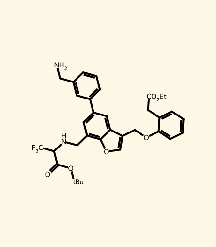 CCOC(=O)Cc1ccccc1OCc1coc2c(CNC(C(=O)OC(C)(C)C)C(F)(F)F)cc(-c3cccc(CN)c3)cc12